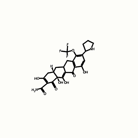 NC(=O)C1=C(O)C[C@@H]2CC3Cc4c(OC(F)(F)F)c(C5CCCN5)cc(O)c4C(=O)C3=C(O)[C@]2(O)C1=O